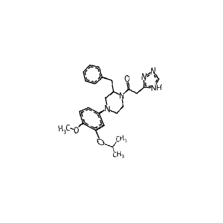 COc1ccc(N2CCN(C(=O)Cc3nnc[nH]3)C(Cc3ccccc3)C2)cc1OC(C)C